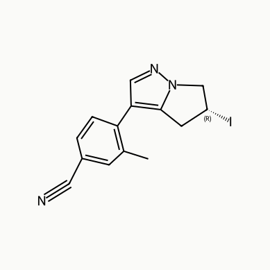 Cc1cc(C#N)ccc1-c1cnn2c1C[C@@H](I)C2